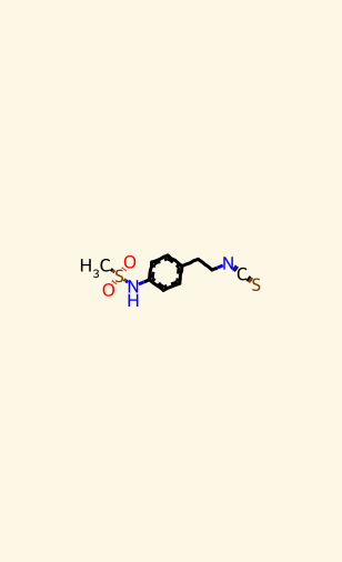 CS(=O)(=O)Nc1ccc(CCN=C=S)cc1